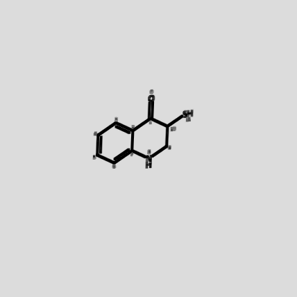 O=C1c2ccccc2NCC1S